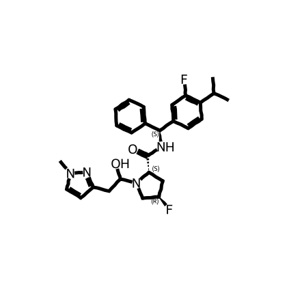 CC(C)c1ccc([C@@H](NC(=O)[C@@H]2C[C@@H](F)CN2C(O)Cc2ccn(C)n2)c2ccccc2)cc1F